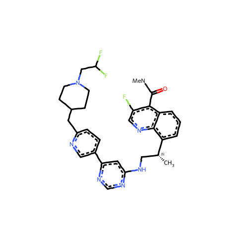 CNC(=O)c1c(F)cnc2c([C@H](C)CNc3cc(-c4ccc(CC5CCN(CC(F)F)CC5)nc4)ncn3)cccc12